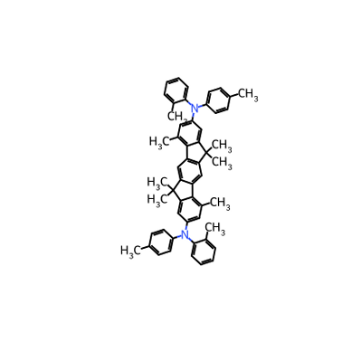 Cc1ccc(N(c2cc(C)c3c(c2)C(C)(C)c2cc4c(cc2-3)C(C)(C)c2cc(N(c3ccc(C)cc3)c3ccccc3C)cc(C)c2-4)c2ccccc2C)cc1